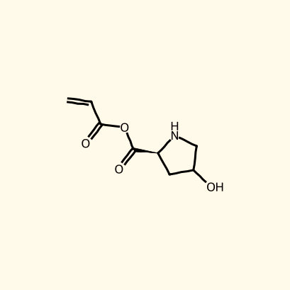 C=CC(=O)OC(=O)[C@@H]1CC(O)CN1